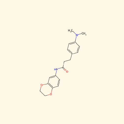 CN(C)c1ccc(CCC(=O)Nc2ccc3c(c2)OCCO3)cc1